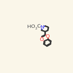 O=C(O)N1CCCC(C2=COc3ccccc3O2)C1